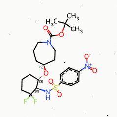 CC(C)(C)OC(=O)N1CCC[C@H](O[C@H]2CCCC(F)(F)[C@@H]2NS(=O)(=O)c2ccc([N+](=O)[O-])cc2)CC1